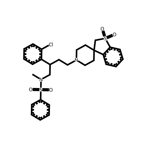 CN(CC(CCN1CCC2(CC1)CS(=O)(=O)c1ccccc12)c1ccccc1Cl)S(=O)(=O)c1ccccc1